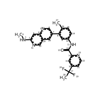 CNc1cc2ncc(-c3cc(NC(=O)c4cc(C(C)(F)F)ccn4)ccc3C)cc2cn1